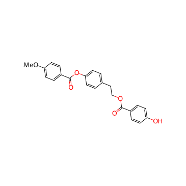 COc1ccc(C(=O)Oc2ccc(CCOC(=O)c3ccc(O)cc3)cc2)cc1